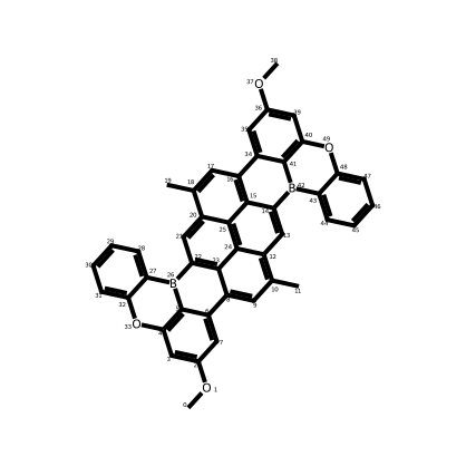 COc1cc2c3c(c1)-c1cc(C)c4cc5c6c(cc(C)c7cc(c1c4c76)B3c1ccccc1O2)-c1cc(OC)cc2c1B5c1ccccc1O2